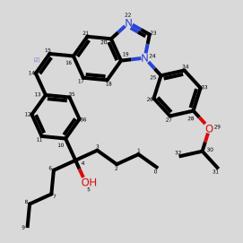 CCCCC(O)(CCCC)c1ccc(/C=C\c2ccc3c(c2)ncn3-c2ccc(OC(C)C)cc2)cc1